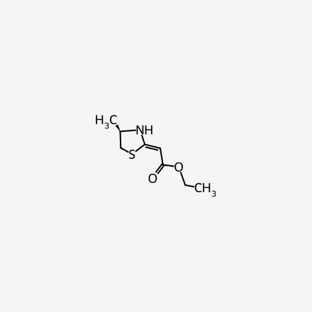 CCOC(=O)/C=C1/N[C@H](C)CS1